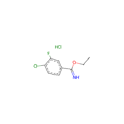 CCOC(=N)c1ccc(Cl)c(F)c1.Cl